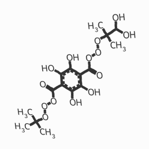 CC(C)(C)OOOC(=O)c1c(O)c(O)c(C(=O)OOOC(C)(C)C(O)O)c(O)c1O